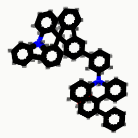 c1ccc(-c2ccccc2-c2ccccc2N(c2ccccc2)c2cccc(-c3ccc4c(c3)-c3ccccc3C43c4ccccc4-n4c5ccccc5c5cccc3c54)c2)cc1